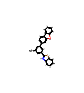 N#Cc1cc(-c2ccc3c(c2)oc2ccccc23)cc(-c2nc3ccccc3s2)c1